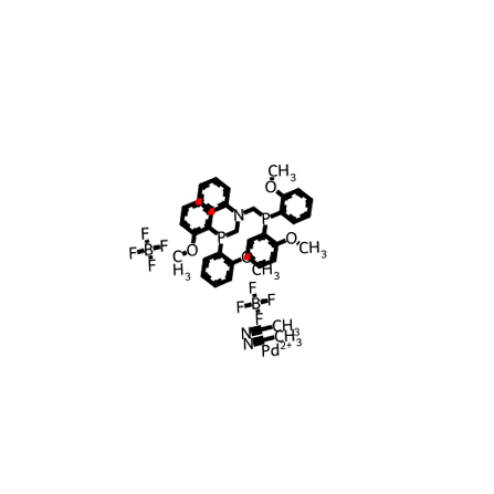 CC#N.CC#N.COc1ccccc1P(CN(CP(c1ccccc1OC)c1ccccc1OC)c1ccccc1)c1ccccc1OC.F[B-](F)(F)F.F[B-](F)(F)F.[Pd+2]